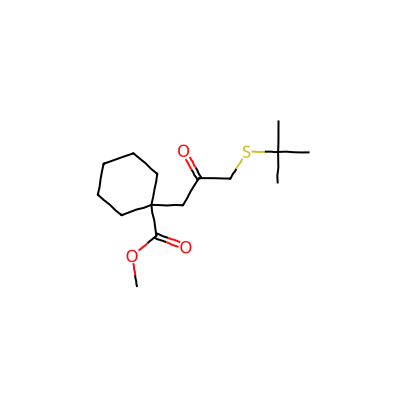 COC(=O)C1(CC(=O)CSC(C)(C)C)CCCCC1